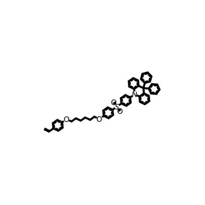 C=Cc1ccc(OCCCCCCOc2ccc(S(=O)(=O)c3ccc(N4c5ccccc5C(c5ccccc5)(c5ccccc5)c5ccccc54)cc3)cc2)cc1